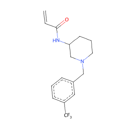 C=CC(=O)NC1CCCN(Cc2cccc(C(F)(F)F)c2)C1